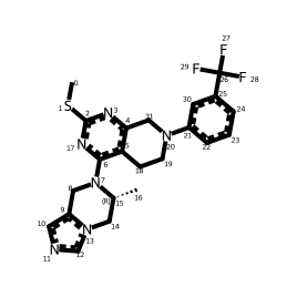 CSc1nc2c(c(N3Cc4cncn4C[C@H]3C)n1)CCN(c1cccc(C(F)(F)F)c1)C2